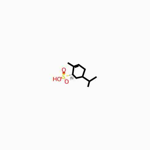 CC1=CCC(C(C)C)C[C@@H]1S(=O)(=O)O